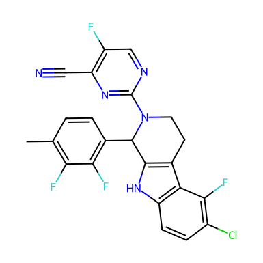 Cc1ccc(C2c3[nH]c4ccc(Cl)c(F)c4c3CCN2c2ncc(F)c(C#N)n2)c(F)c1F